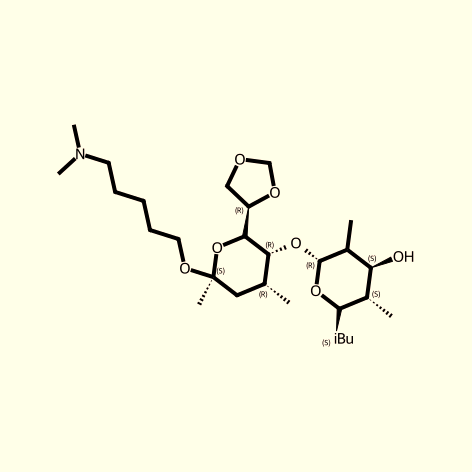 CC[C@H](C)C1O[C@H](O[C@H]2C([C@H]3COCO3)O[C@](C)(OCCCCCN(C)C)C[C@H]2C)C(C)[C@@H](O)[C@@H]1C